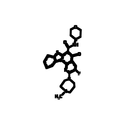 CN1CCCN(c2nc3c(cc2F)c(=O)c(C(=O)NN2CCOCC2)c2sc4ccccc4n23)CC1